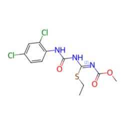 CCS/C(=N\C(=O)OC)NC(=O)Nc1ccc(Cl)cc1Cl